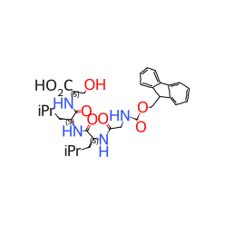 CC(C)C[C@H](NC(=O)CNC(=O)OCC1c2ccccc2-c2ccccc21)C(=O)N[C@@H](CC(C)C)C(=O)N[C@@H](CO)C(=O)O